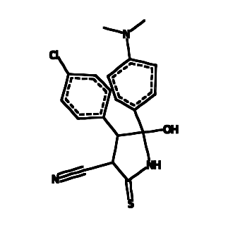 CN(C)c1ccc(C2(O)NC(=S)C(C#N)C2c2ccc(Cl)cc2)cc1